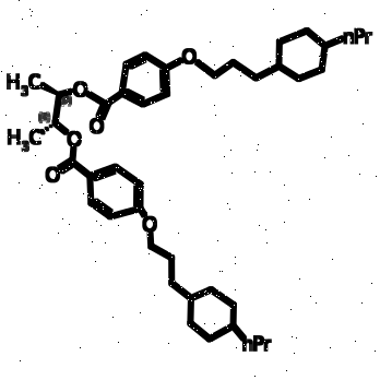 CCCC1CCC(CCCOc2ccc(C(=O)O[C@H](C)[C@@H](C)OC(=O)c3ccc(OCCCC4CCC(CCC)CC4)cc3)cc2)CC1